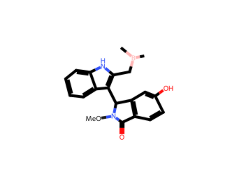 CON1C(=O)c2ccc(O)cc2C1c1c(CB(C)C)[nH]c2ccccc12